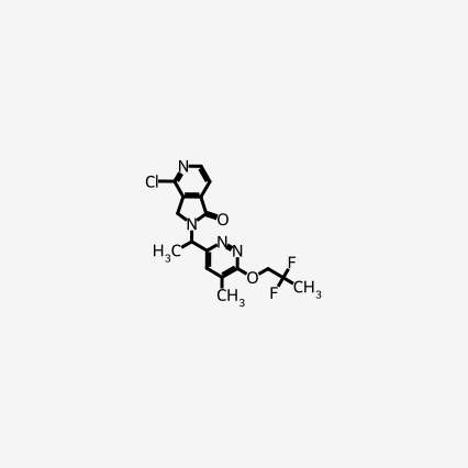 Cc1cc(C(C)N2Cc3c(ccnc3Cl)C2=O)nnc1OCC(C)(F)F